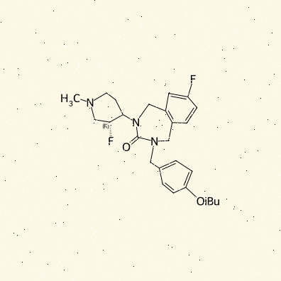 CC(C)COc1ccc(CN2Cc3ccc(F)cc3CN(C3CCN(C)C[C@H]3F)C2=O)cc1